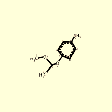 COC(C)Oc1ccc(N)cc1